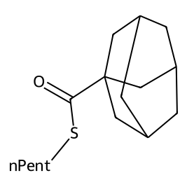 CCCCCSC(=O)C12CC3CC(CC(C3)C1)C2